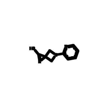 OC1=NC12CN(c1ccccn1)C2